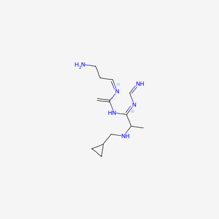 C=C(/N=C\CCN)N/C(=N\C=N)C(C)NCC1CC1